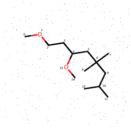 COCCC(CC(C)(C)CC(C)C)OC